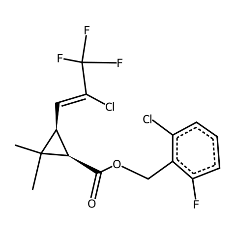 CC1(C)[C@H](C(=O)OCc2c(F)cccc2Cl)[C@@H]1C=C(Cl)C(F)(F)F